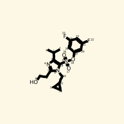 CC(C)c1nc(CCO)n(CC2CC2)c1S(=O)(=O)Oc1cc(F)cc(F)c1